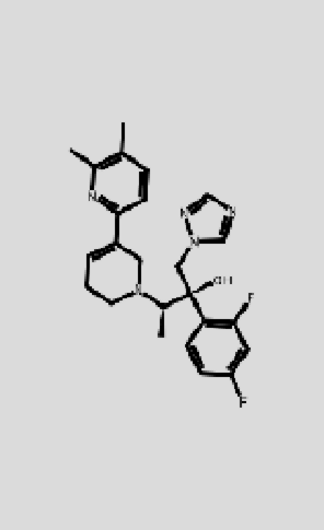 Cc1ccc(C2=CCCN([C@H](C)[C@](O)(Cn3cncn3)c3ccc(F)cc3F)C2)nc1C